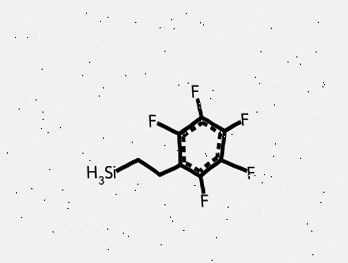 Fc1c(F)c(F)c(CC[SiH3])c(F)c1F